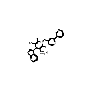 CC(=O)C1=C(C)N(Cc2ccnc(-c3cccnc3)c2)C(C)=C(C(=O)O)C1c1csc2ncccc12